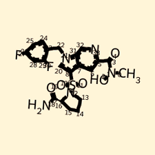 CN(O)C(=O)c1cc2c(S(=O)(=O)N3CCC[C@H]3C(N)=O)cn(Cc3ccc(F)cc3F)c2cn1